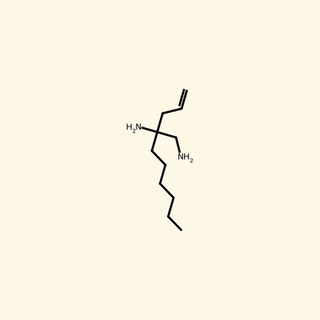 C=CCC(N)(CN)CCCCCC